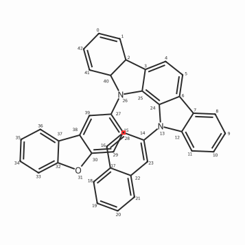 C1=CC2c3ccc4c5ccccc5n(-c5ccc6ccccc6c5)c4c3N(c3ccc4oc5ccccc5c4c3)C2C=C1